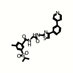 Cc1cc(C(=O)NCC(=O)Nc2nc(-c3cccc(-c4ccncc4)c3)cs2)cc(S(=O)(=O)C(C)C)c1